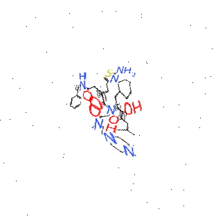 CC(C)C[C@H](O)[C@H](O)[C@H](CC1CCCCC1)N(CC(=O)N(C)CCN1CCN(C)CC1)C(=O)[C@@H](CC(=O)N[C@@H](C)c1ccccc1)Cc1csc(N)n1